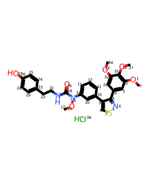 COc1cc(-c2nscc2-c2cccc(N(OC)C(=O)NCCc3ccc(O)cc3)c2)cc(OC)c1OC.Cl